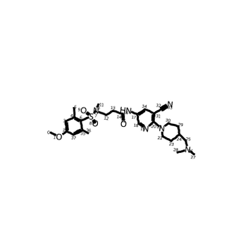 COc1cc(C)c(S(=O)(=O)N(C)CCC(=O)Nc2cnc(N3CCC(CN(C)C)CC3)c(C#N)c2)c(C)c1